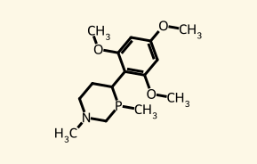 COc1cc(OC)c(C2CCN(C)CP2C)c(OC)c1